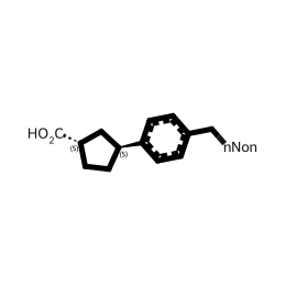 CCCCCCCCCCc1ccc([C@H]2CC[C@H](C(=O)O)C2)cc1